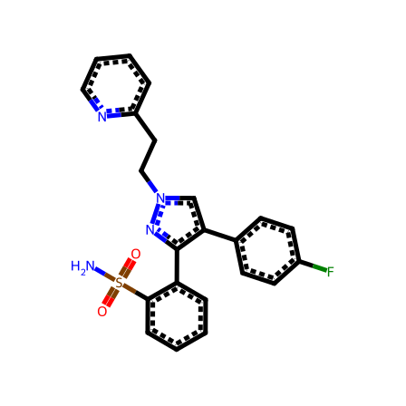 NS(=O)(=O)c1ccccc1-c1nn(CCc2ccccn2)cc1-c1ccc(F)cc1